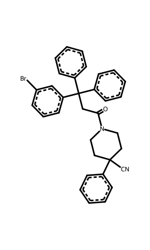 N#CC1(c2ccccc2)CCN(C(=O)CC(c2ccccc2)(c2ccccc2)c2cccc(Br)c2)CC1